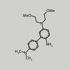 COCCN(CCOC)c1ccc(N)c(-c2ccc(N(C)C)cc2)c1